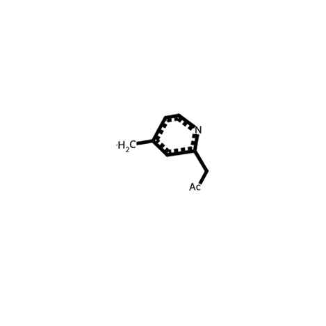 [CH2]c1ccnc(CC(C)=O)c1